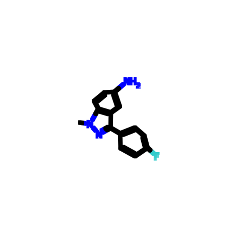 Cn1nc(-c2ccc(F)cc2)c2cc(N)ccc21